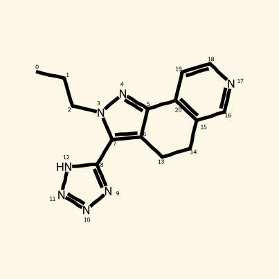 CCCn1nc2c(c1-c1nnn[nH]1)CCc1cnccc1-2